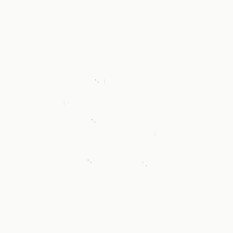 N#Cc1cncc(N2C[C@H]3CCN[C@H]3C2)c1.O=C(O)/C=C/C(=O)O